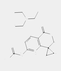 CCN(CC)CC.O=C(O)Nc1ccc2c(n1)C1(CC1)COC2=O